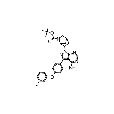 CC(C)(C)OC(=O)N1CC2CC1C(n1nc(-c3ccc(Oc4cccc(F)c4)cc3)c3c(N)ncnc31)C2